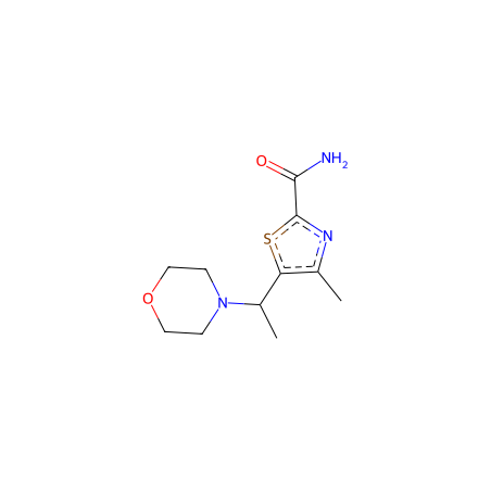 Cc1nc(C(N)=O)sc1C(C)N1CCOCC1